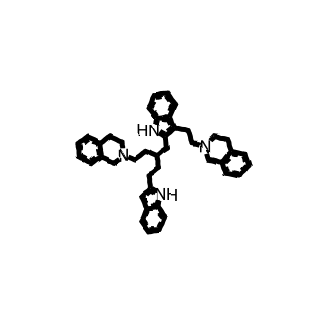 c1ccc2c(c1)CCN(CCc1c(CC(CCc3cc4ccccc4[nH]3)CCN3CCc4ccccc4C3)[nH]c3ccccc13)C2